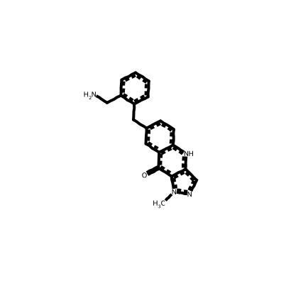 Cn1ncc2[nH]c3ccc(Cc4ccccc4CN)cc3c(=O)c21